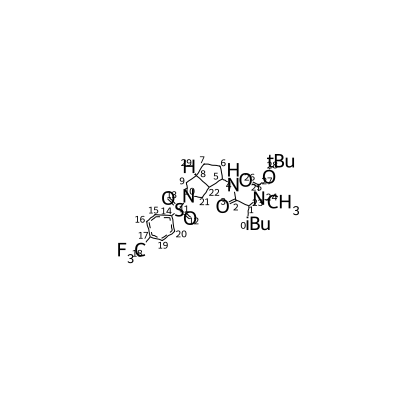 CCC(C)C(C(=O)NC1CC[C@H]2CN(S(=O)(=O)c3ccc(C(F)(F)F)cc3)CC12)N(C)C(=O)OC(C)(C)C